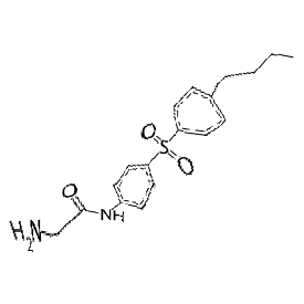 CCCCc1ccc(S(=O)(=O)c2ccc(NC(=O)CN)cc2)cc1